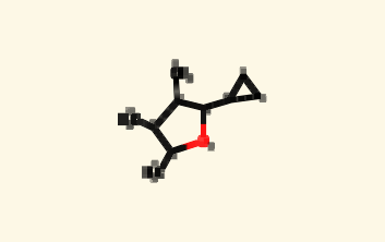 CC1OC(C2CC2)C(C)C1C